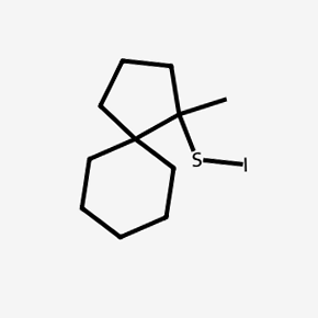 CC1(SI)CCCC12CCCCC2